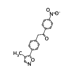 Cc1cnoc1-c1ccc(CC(=O)c2ccc([N+](=O)[O-])cc2)cc1